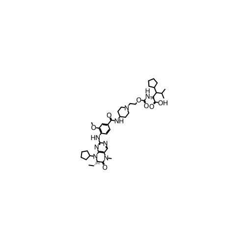 CC[C@H]1C(=O)N(C)c2cnc(Nc3ccc(C(=O)NC4CCN(CCOC(=O)N[C@@H](C(=O)O)C(C(C)C)C5CCCC5)CC4)cc3OC)nc2N1C1CCCC1